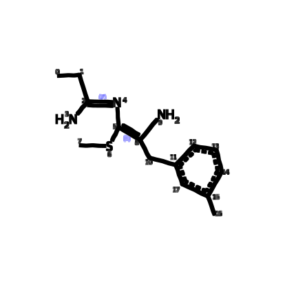 CC/C(N)=N/C(SC)=C(\N)Cc1cccc(C)c1